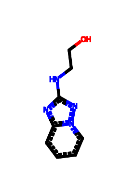 OCCNc1nc2ccccn2n1